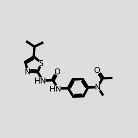 CC(=O)N(C)c1ccc(NC(=O)Nc2ncc(C(C)C)s2)cc1